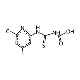 Cc1cc(Cl)nc(NC(=S)NC(=O)O)c1